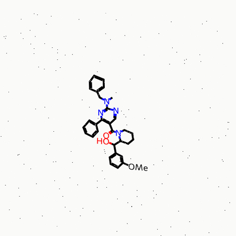 COc1cccc(C(O)C2CCCCN2C(=O)c2cnc(N(C)Cc3ccccc3)nc2-c2ccccc2)c1